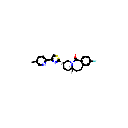 Cc1ccc(-c2csc([C@H]3CC[C@H]4CCc5cc(F)ccc5C(=O)N4C3)n2)nc1